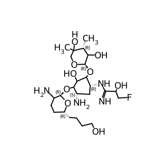 C[C@@H]1C(O)[C@@H](OC2C(O)C(O[C@H]3O[C@H](CCCCO)CCC3N)[C@@H](N)C[C@H]2NC(=N)C(O)CF)OCC1(C)O